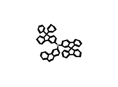 c1ccc(C2(c3ccccc3)c3ccccc3-c3cc(N(c4ccc5c(c4)C4(c6ccccc6-c6ccccc64)c4ccccc4-5)c4ccc5ccc6ccccc6c5c4)ccc32)cc1